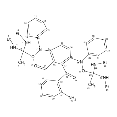 CCNC(C)(NCC)ON(c1ccccc1)c1ccc(N(OC(C)(NCC)NCC)c2ccccc2)c2c1C(=O)c1cccc(N)c1C2=O